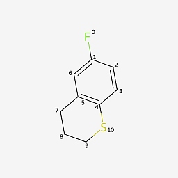 Fc1ccc2c(c1)CCCS2